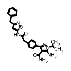 CC(C)n1nc(-c2ccc(CC(=O)Nc3cc(Cc4ccccc4)no3)cc2)c(C(N)=O)c1N